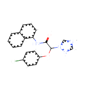 O=C(Nc1cccc2ccccc12)C(Oc1ccc(Cl)cc1)n1cncn1